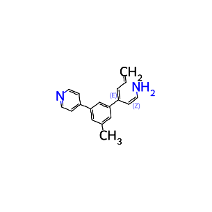 C=C/C=C(\C=C/N)c1cc(C)cc(-c2ccncc2)c1